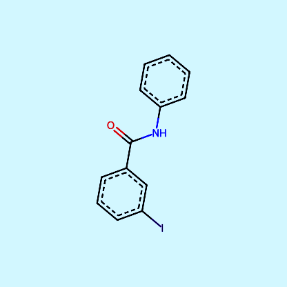 O=C(Nc1ccccc1)c1cccc(I)c1